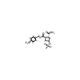 CS(=O)(=O)OC1C[C@@H](C(N)=O)N(C(=O)OCc2ccc([N+](=O)[O-])cc2)C1